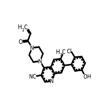 C=CC(=O)N1CCN(c2c(C#N)cnc3cc(-c4cc(O)ccc4Cl)c(C)cc23)CC1